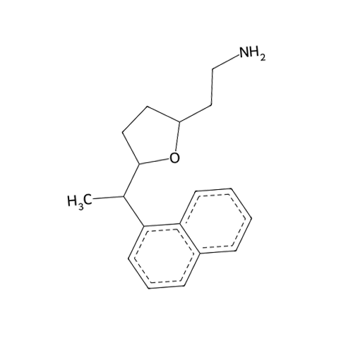 CC(c1cccc2ccccc12)C1CCC(CCN)O1